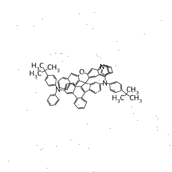 CC(C)(C)c1ccc(N(c2cccnc2)c2ccc3c(c2)C2(c4cc5ccccc5cc4Oc4cc5ccccc5cc42)c2c-3c3ccccc3c3cc(N(c4ccccc4)c4ccc(C(C)(C)C)cc4)ccc23)cc1